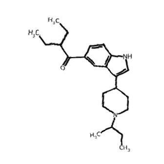 CCC(CC)C(=O)c1ccc2[nH]cc(C3CCN(C(C)CC)CC3)c2c1